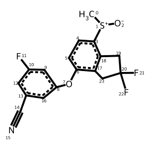 C[S+]([O-])c1ccc(Oc2cc(F)cc(C#N)c2)c2c1CC(F)(F)C2